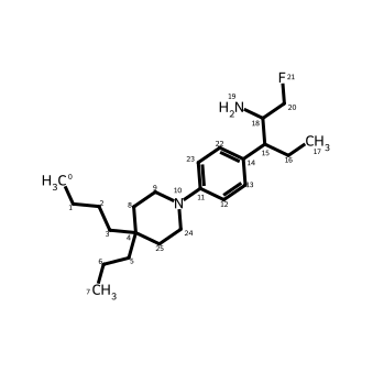 CCCCC1(CCC)CCN(c2ccc(C(CC)C(N)CF)cc2)CC1